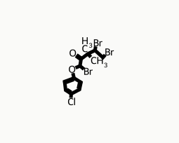 CC(C)(C(=O)C(Br)Oc1ccc(Cl)cc1)C(Br)CBr